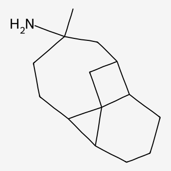 CC1(N)CCC2C3CCCC4C(C1)CC432